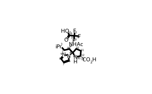 CC(=O)N[C@@H](CC(C)C)[C@]1(n2cccn2)CC[C@H](C(=O)O)N1.O=C(O)C(F)(F)F